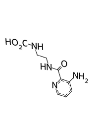 Nc1cccnc1C(=O)NCCNC(=O)O